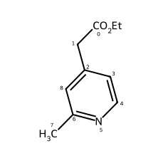 CCOC(=O)Cc1ccnc(C)c1